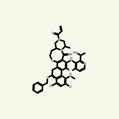 C=CC(=O)N1CC(C)N2C(=N)c3c(Nc4c(C)ccnc4C(C)O)c(F)c(-c4c(F)c(Cl)cc(Cl)c4NC)c(CC(=O)OCc4ccccc4)c3OCCC2C1